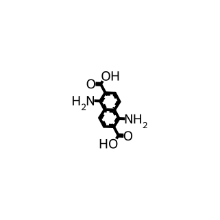 Nc1c(C(=O)O)ccc2c(N)c(C(=O)O)ccc12